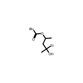 CCC(C)C(=O)OC(C)CC(C)(O)CC